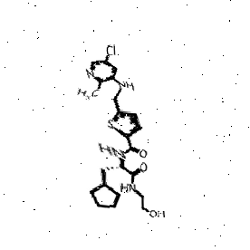 Cc1ncc(Cl)cc1NCc1ccc(C(=O)N[C@@H](CC2CCCC2)C(=O)NCCO)s1